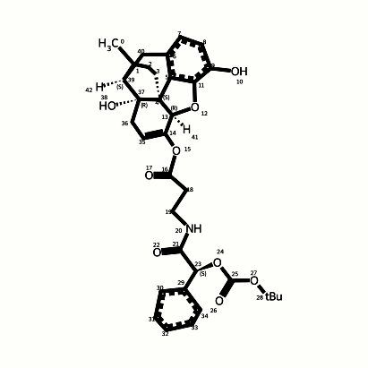 CC1CC[C@]23c4c5ccc(O)c4O[C@H]2C(OC(=O)CCNC(=O)[C@@H](OC(=O)OC(C)(C)C)c2ccccc2)=CC[C@@]3(O)[C@H]1C5